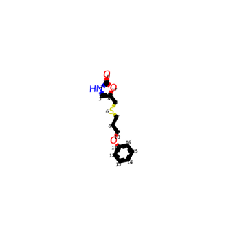 O=c1[nH]cc(CSCCCOc2ccccc2)o1